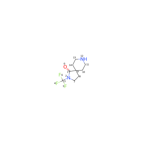 O=C1N(C(F)(F)F)CCC12CCNCC2